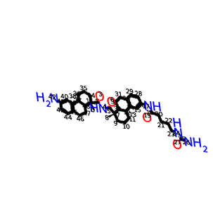 C[C@]1(C(=O)NC(=O)[C@@]2(C)CCC[C@]3(C)c4cc(NC(=O)CCCCNC(N)=O)ccc4CCC23)CCC[C@]2(C)c3cc(N)ccc3CCC12